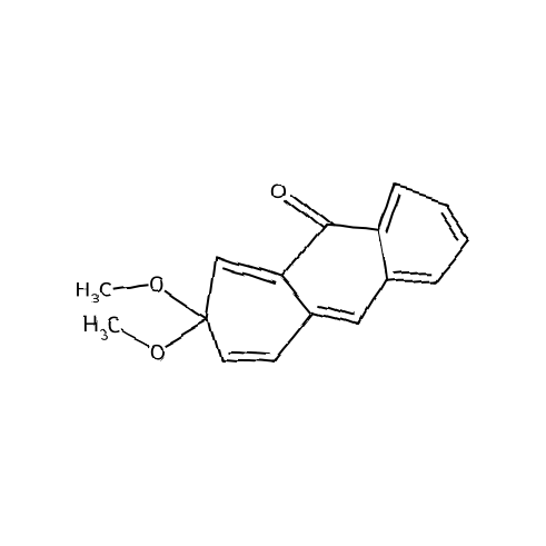 COC1(OC)C=CC2=Cc3ccccc3C(=O)C2=C1